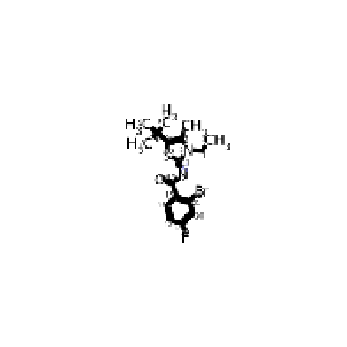 CCn1c(C)c(C(C)(C)C)s/c1=N\C(=O)c1ccc(F)cc1Br